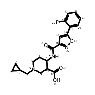 O=C(NC1CCN(CC2CC2)CC1C(=O)O)c1cc(-c2ccccc2F)on1